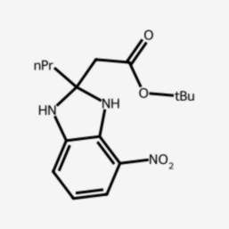 CCCC1(CC(=O)OC(C)(C)C)Nc2cccc([N+](=O)[O-])c2N1